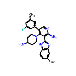 COc1ccc2[nH]c(-c3c(N)ncc(-c4cc(C)cc(F)c4)c3N3CCC(N)CC3)nc2c1